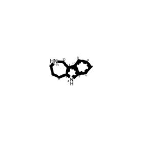 [C]1CCc2[nH]c3ccccc3c2CN1